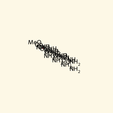 COc1ccc(NC(=O)[C@@H](CCCCN)NC(=O)c2cc(NC(=O)[C@H](CCCCN)NC(=O)c3cc(NC(=O)[C@@H](CCCCN)NC(=O)c4cc(NC(=O)[C@@H](N)CCCCN)ccc4OC)ccc3OC)ccc2OC)cc1C(N)=O